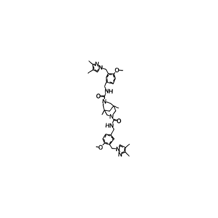 COc1ccc(CNC(=O)N2CC3(C)CN(C(=O)NCc4ccc(OC)c(Cn5cc(C)c(C)n5)c4)CC(C)(C2)C3)cc1Cn1cc(C)c(C)n1